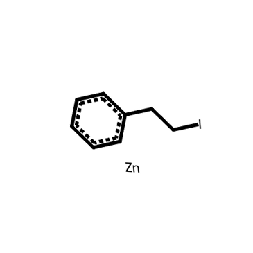 ICCc1ccccc1.[Zn]